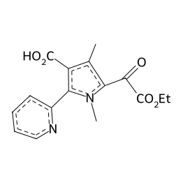 CCOC(=O)C(=O)c1c(C)c(C(=O)O)c(-c2ccccn2)n1C